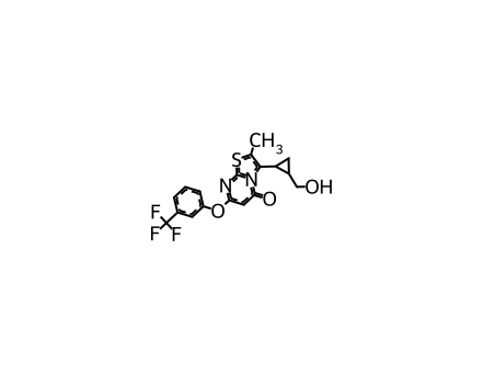 Cc1sc2nc(Oc3cccc(C(F)(F)F)c3)cc(=O)n2c1C1CC1CO